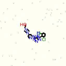 OCCN1CCN(c2ccnc(Nc3ncnc4nc(-c5c(Cl)cccc5Cl)[nH]c34)c2)CC1